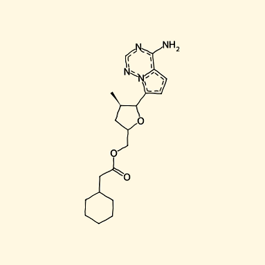 C[C@@H]1CC(COC(=O)CC2CCCCC2)OC1c1ccc2c(N)ncnn12